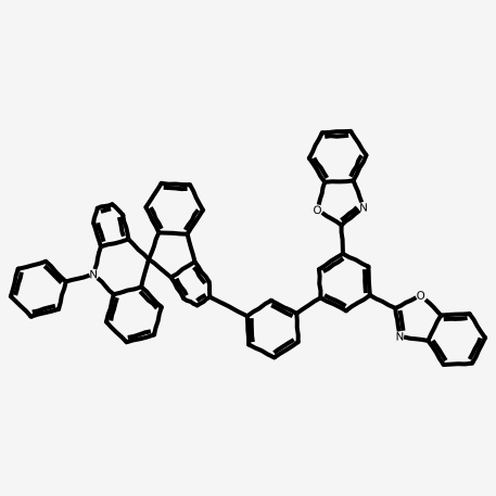 c1ccc(N2c3ccccc3C3(c4ccccc4-c4cc(-c5cccc(-c6cc(-c7nc8ccccc8o7)cc(-c7nc8ccccc8o7)c6)c5)ccc43)c3ccccc32)cc1